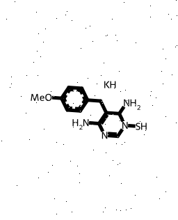 COc1ccc(CC2=C(N)N=CN(S)C2N)cc1.[KH]